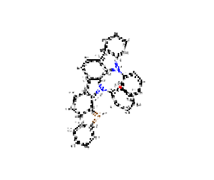 c1ccc(-n2c3ccccc3c3ccc4c5ccc6c7ccccc7sc6c5n(-c5ccccc5)c4c32)cc1